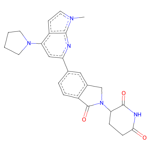 Cn1ccc2c(N3CCCC3)cc(-c3ccc4c(c3)CN(C3CCC(=O)NC3=O)C4=O)nc21